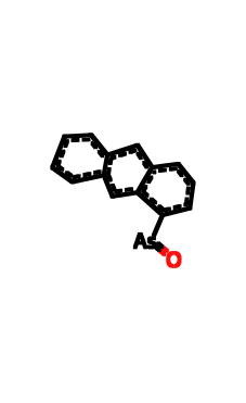 O=[As]c1cccc2cc3ccccc3cc12